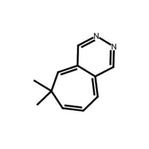 CC1(C)C=CC=c2cnncc2=C1